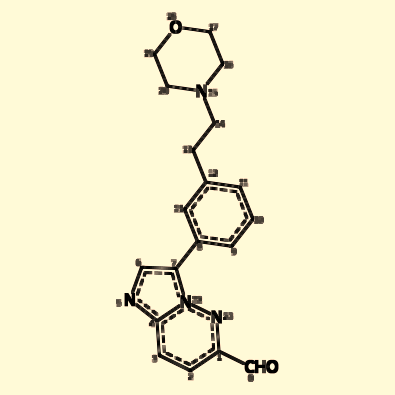 O=Cc1ccc2ncc(-c3cccc(CCN4CCOCC4)c3)n2n1